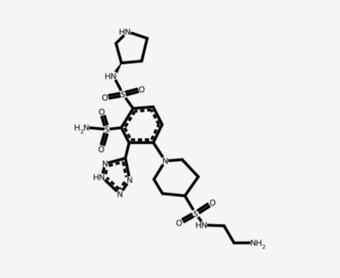 NCCNS(=O)(=O)C1CCN(c2ccc(S(=O)(=O)N[C@@H]3CCNC3)c(S(N)(=O)=O)c2-c2nn[nH]n2)CC1